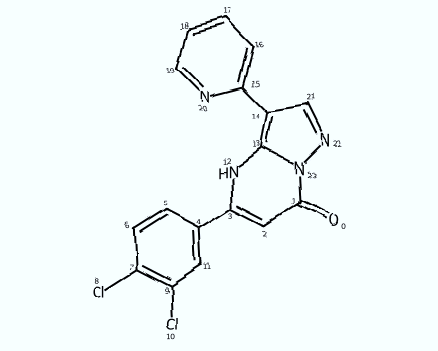 O=c1cc(-c2ccc(Cl)c(Cl)c2)[nH]c2c(-c3ccccn3)cnn12